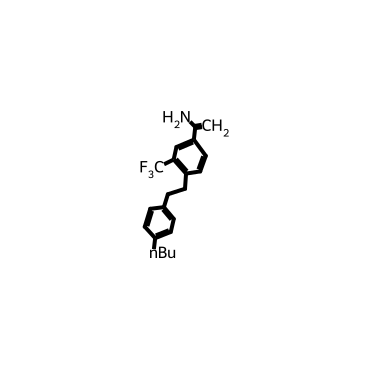 C=C(N)c1ccc(CCc2ccc(CCCC)cc2)c(C(F)(F)F)c1